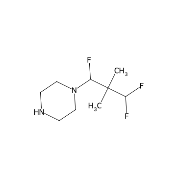 CC(C)(C(F)F)C(F)N1CCNCC1